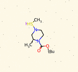 C[C@H]1CN([SH](C)I)CCN1C(=O)OC(C)(C)C